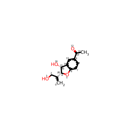 C=C(CO)[C@H]1Oc2ccc(C(C)=O)cc2[C@H]1O